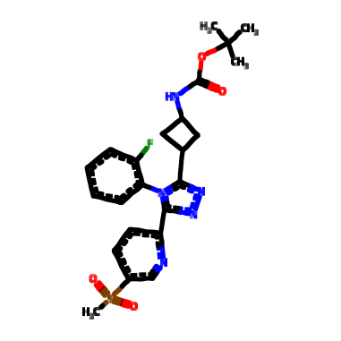 CC(C)(C)OC(=O)NC1CC(c2nnc(-c3ccc(S(C)(=O)=O)cn3)n2-c2ccccc2F)C1